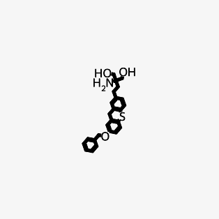 NC(CO)(CO)CCc1ccc2c(c1)Cc1cc(OCc3ccccc3)ccc1S2